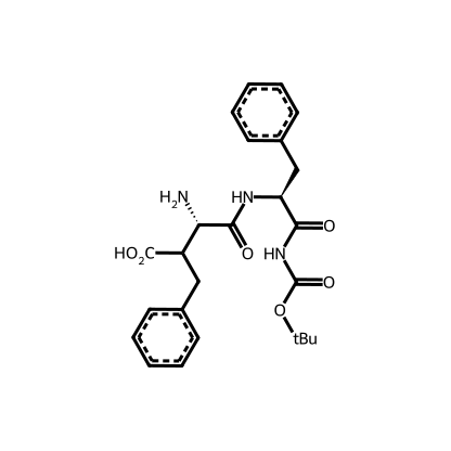 CC(C)(C)OC(=O)NC(=O)[C@H](Cc1ccccc1)NC(=O)[C@@H](N)C(Cc1ccccc1)C(=O)O